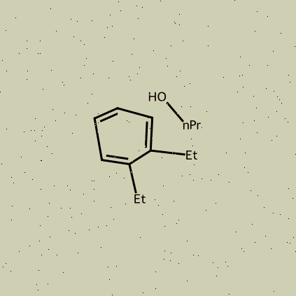 CCCO.CCc1ccccc1CC